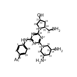 CC(=O)c1ccc(Nc2nc(N3C[C@H](N)C[C@H](N)C3)nc(N3C[C@@H](O)C[C@H]3CN)n2)cc1